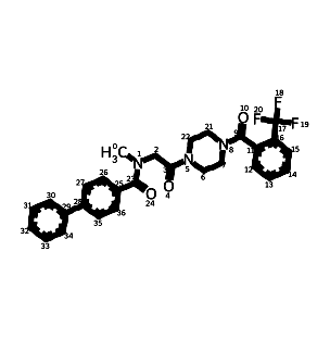 CN(CC(=O)N1CCN(C(=O)c2ccccc2C(F)(F)F)CC1)C(=O)c1ccc(-c2ccccc2)cc1